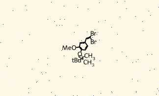 COc1cc(C=C(Br)Br)ccc1O[Si](C)(C)C(C)(C)C